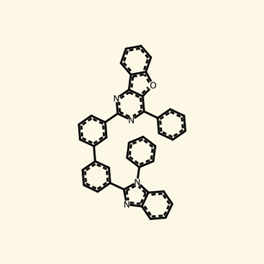 c1ccc(-c2nc(-c3cccc(-c4cccc(-c5nc6ccccc6n5-c5ccccc5)c4)c3)nc3c2oc2ccccc23)cc1